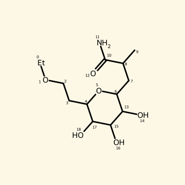 CCOCCC1OC(CC(C)C(N)=O)C(O)C(O)C1O